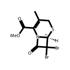 COC(=O)C1=C(C)CS[C@@H]2N1C(=O)C2(Br)Br